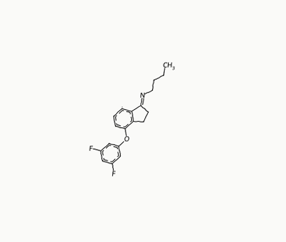 CCCCN=C1CCc2c1[c]ccc2Oc1cc(F)cc(F)c1